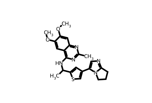 COc1cc2nc(C)nc(NC(C)c3cc(-c4cnc5n4CCC5)cs3)c2cc1OC